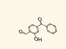 O=Cc1ccc(C(=O)c2ccccc2)cc1O